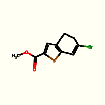 COC(=O)c1cc2c(s1)C=C(Br)CC2